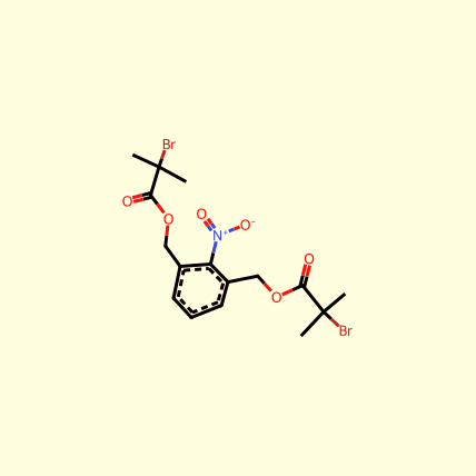 CC(C)(Br)C(=O)OCc1cccc(COC(=O)C(C)(C)Br)c1[N+](=O)[O-]